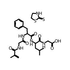 C=C(C)C(=O)NCC(=O)NC(Cc1ccccc1)C(=O)NC(CC(C)C)C(=O)NCC(=O)O.S=C1NCCS1